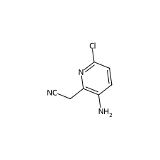 N#CCc1nc(Cl)ccc1N